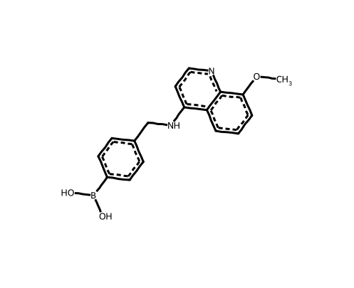 COc1cccc2c(NCc3ccc(B(O)O)cc3)ccnc12